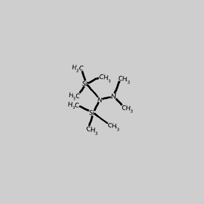 CN(C)N([Si](C)(C)C)[Si](C)(C)C